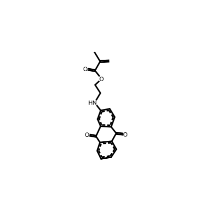 C=C(C)C(=O)OCCNc1ccc2c(c1)C(=O)c1ccccc1C2=O